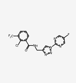 O=C(NCc1cn(-c2ncc(F)cn2)nn1)c1cccc(C(F)(F)F)c1Cl